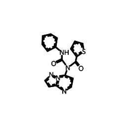 O=C(Nc1ccccc1)N(C(=O)c1cccs1)c1ccnc2ccnn12